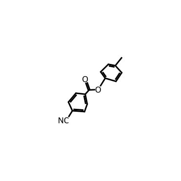 Cc1ccc(OC(=O)c2ccc(C#N)cc2)cc1